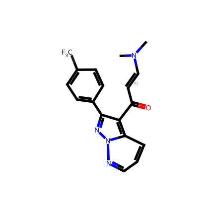 CN(C)/C=C/C(=O)c1c(-c2ccc(C(F)(F)F)cc2)nn2ncccc12